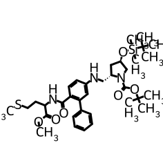 COC(=O)C(CCSC)NC(=O)c1ccc(NC[C@@H]2C[C@@H](O[Si](C)(C)C(C)(C)C)CN2C(=O)OC(C)(C)C)cc1-c1ccccc1